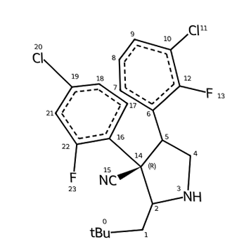 CC(C)(C)CC1NCC(c2cccc(Cl)c2F)[C@@]1(C#N)c1ccc(Cl)cc1F